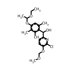 CCOC(C)Oc1cc(C)c(C(O)c2ccc(OCOC)c(Cl)n2)c(C)c1C